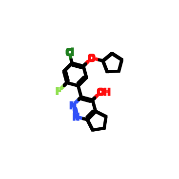 Oc1c(-c2cc(OC3CCCC3)c(Cl)cc2F)nnc2c1CCC2